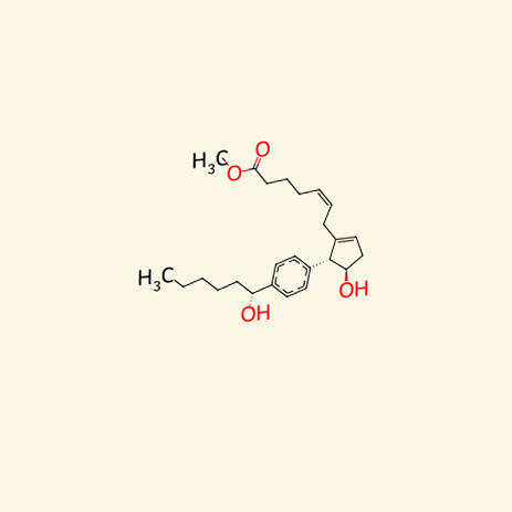 CCCCC[C@@H](O)c1ccc([C@@H]2C(C/C=C\CCCC(=O)OC)=CC[C@H]2O)cc1